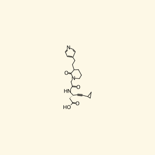 O=C(O)C[C@@H](C#CC1CC1)NC(=O)CN1CCCC(CCc2ccncc2)C1=O